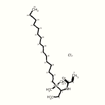 C=CC(=O)NC(CC)[N+](C)(C)CCCCCCCCCCCCCCCC.[Cl-]